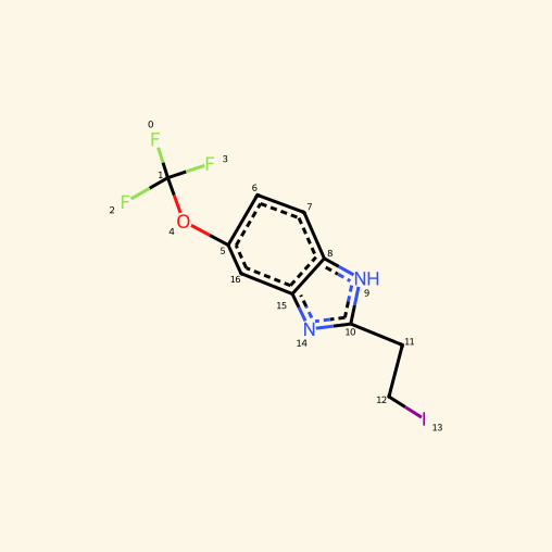 FC(F)(F)Oc1ccc2[nH]c(CCI)nc2c1